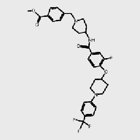 COC(=O)c1ccc(CN2CCC(NC(=O)c3ccc(OC4CCN(c5ccc(C(F)(F)F)cc5)CC4)c(F)c3)CC2)cc1